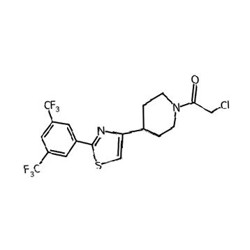 O=C(CCl)N1CCC(c2csc(-c3cc(C(F)(F)F)cc(C(F)(F)F)c3)n2)CC1